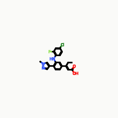 CC/C(=C\C(=O)O)c1ccc(-c2cnn(C)c2)c(Nc2ccc(Cl)cc2F)c1